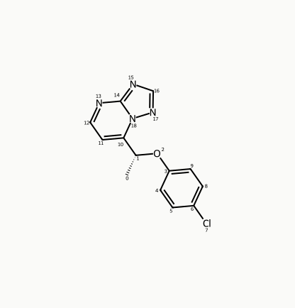 C[C@@H](Oc1ccc(Cl)cc1)c1ccnc2ncnn12